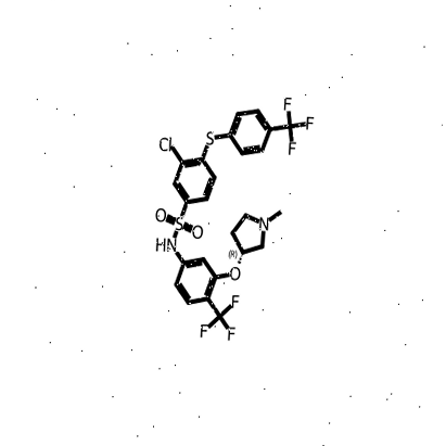 CN1CC[C@@H](Oc2cc(NS(=O)(=O)c3ccc(Sc4ccc(C(F)(F)F)cc4)c(Cl)c3)ccc2C(F)(F)F)C1